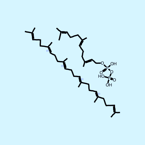 CC(C)=CCC/C(C)=C/CC/C(C)=C/CC/C=C(\C)CC/C=C(\C)CCC=C(C)C.CC(C)=CCCC(C)=CCCC(C)=CCOP(=O)(O)OP(=O)(O)O